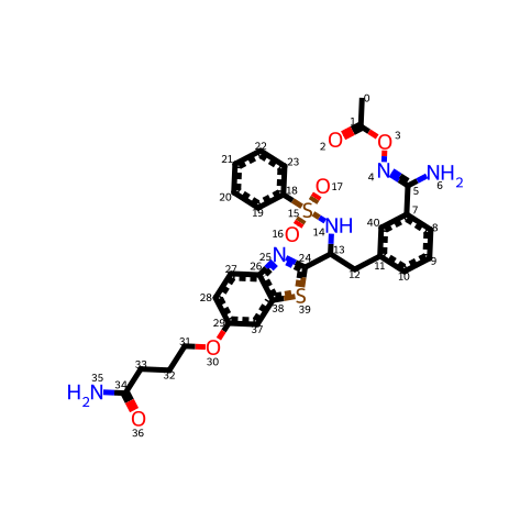 CC(=O)ON=C(N)c1cccc(CC(NS(=O)(=O)c2ccccc2)c2nc3ccc(OCCCC(N)=O)cc3s2)c1